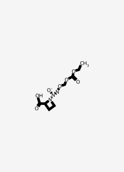 CCOC(=O)OCO/N=[N+](\[O-])N1CCC1C(=O)O